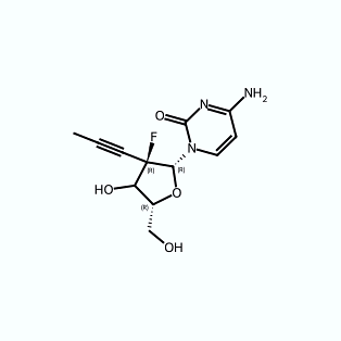 CC#C[C@@]1(F)C(O)[C@@H](CO)O[C@H]1n1ccc(N)nc1=O